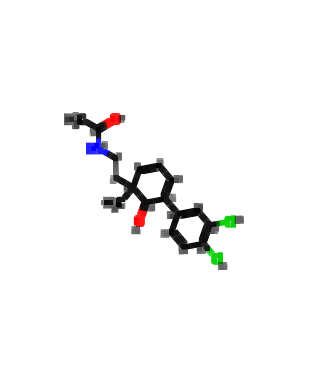 [CH2]C1(CCNC(C)=O)C=CC=C(c2ccc(Cl)c(Cl)c2)C1=O